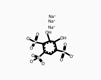 O=S(=O)([O-])c1cc(S(=O)(=O)[O-])c(S(=O)(=O)[O-])c(O)c1O.[Na+].[Na+].[Na+]